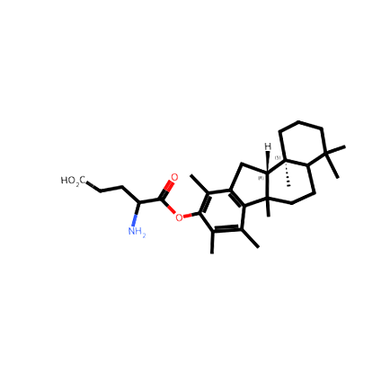 Cc1c(C)c2c(c(C)c1OC(=O)C(N)CCC(=O)O)C[C@H]1C2(C)CCC2C(C)(C)CCC[C@@]21C